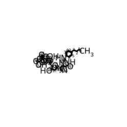 CCCCc1ccc(Nc2nc3c(ncn3[C@H]3C[C@H](O)[C@@H](COP(=O)(O)OP(=O)(O)OP(=O)(O)O)O3)c(=O)[nH]2)cc1